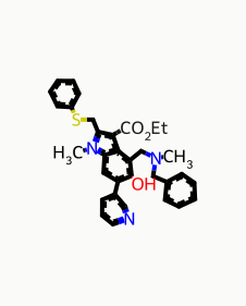 CCOC(=O)c1c(CSc2ccccc2)n(C)c2cc(-c3cccnc3)c(O)c(CN(C)Cc3ccccc3)c12